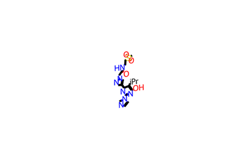 CC(C)c1c(O)nc(-n2ccnc2)nc1-c1cnn(CC(=O)NCCS(C)(=O)=O)c1